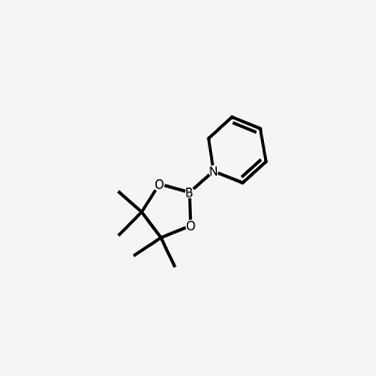 CC1(C)OB(N2C=CC=CC2)OC1(C)C